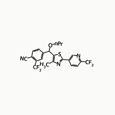 CCCOC(c1ccc(C#N)c(C(F)(F)F)c1)c1sc(-c2ccc(C(F)(F)F)nc2)nc1C